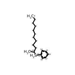 CCCCCCCCCCC(C)[SiH2]c1ccccc1